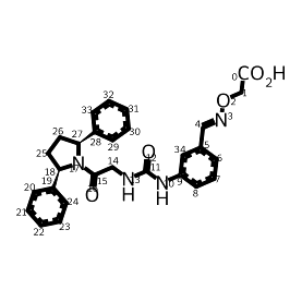 O=C(O)CON=Cc1cccc(NC(=O)NCC(=O)N2[C@@H](c3ccccc3)CC[C@H]2c2ccccc2)c1